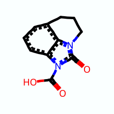 O=C(O)n1c(=O)n2c3c(cccc31)CCC2